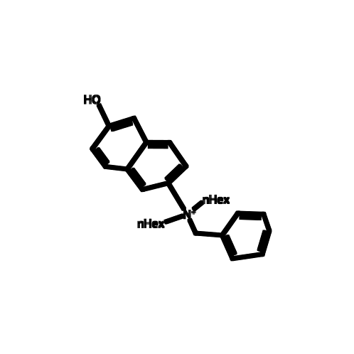 CCCCCC[N+](CCCCCC)(Cc1ccccc1)c1ccc2cc(O)ccc2c1